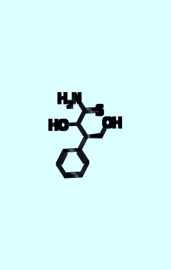 NC(=S)C(O)[C@@H](CO)c1ccccc1